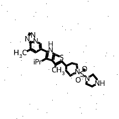 Cc1c(C2CCN(S(=O)(=O)N3CCNCC3)CC2)sc2[nH]c(-c3cc(C)c4ncnn4c3)c(C(C)C)c12